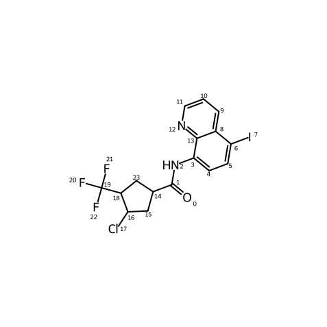 O=C(Nc1ccc(I)c2cccnc12)C1CC(Cl)C(C(F)(F)F)C1